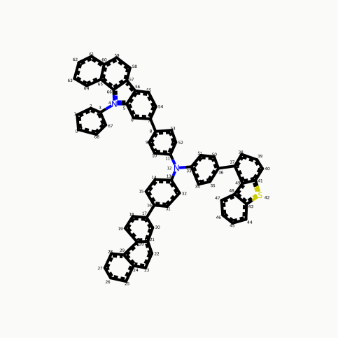 c1ccc(-n2c3cc(-c4ccc(N(c5ccc(-c6ccc7c(ccc8ccccc87)c6)cc5)c5ccc(-c6cccc7sc8ccccc8c67)cc5)cc4)ccc3c3ccc4ccccc4c32)cc1